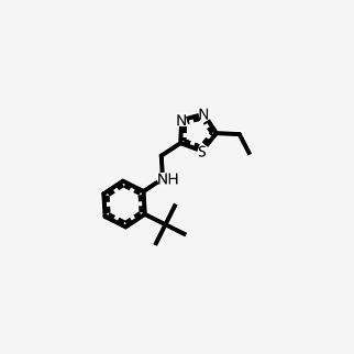 CCc1nnc(CNc2ccccc2C(C)(C)C)s1